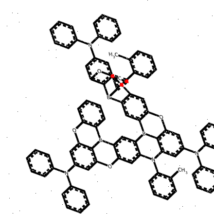 Cc1ccccc1N1c2cc3c(cc2B2c4cc5c(cc4Oc4cc(N(c6ccccc6)c6ccccc6)cc1c42)N(c1ccccc1C)c1cc(N(c2ccccc2)c2ccccc2)cc2c1B5c1ccccc1O2)B1c2ccccc2Oc2cc(N(c4ccccc4)c4ccccc4)cc(c21)O3